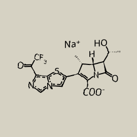 C[C@@H](O)[C@H]1C(=O)N2C(C(=O)[O-])=C(c3cn4cnc(C(=O)C(F)(F)F)c4s3)[C@H](C)[C@H]12.[Na+]